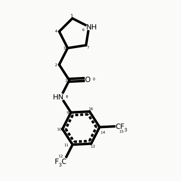 O=C(CC1CCNC1)Nc1cc(C(F)(F)F)cc(C(F)(F)F)c1